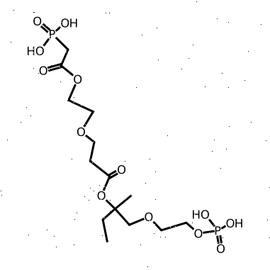 CCC(C)(COCCOP(=O)(O)O)OC(=O)CCOCCOC(=O)CP(=O)(O)O